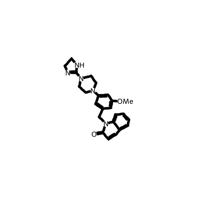 COc1cc(Cn2c(=O)ccc3ccccc32)cc(N2CCN(C3=NCCN3)CC2)c1